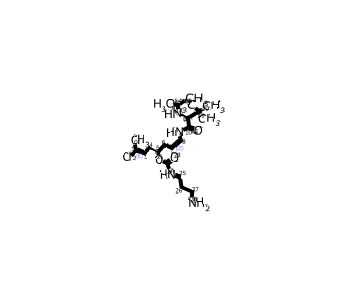 C/C(Cl)=C\C[C@@H](C/C=C\NC(=O)[C@@H](NC(C)C)C(C)(C)C)OC(=O)NCCCN